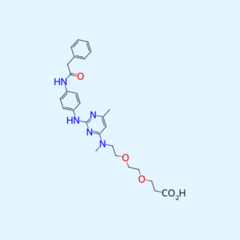 Cc1cc(N(C)CCOCCOCCC(=O)O)nc(Nc2ccc(NC(=O)Cc3ccccc3)cc2)n1